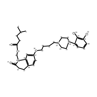 CC(C)CCC(=O)OCN1C(=O)CCc2ccc(OCCCCN3CCN(c4cccc(Cl)c4Cl)CC3)cc21